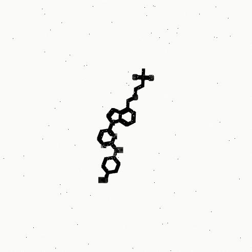 CS(=O)(=O)CCOCc1cccc2c1ccn2-c1ccnc(N[C@H]2CC[C@H](O)CC2)n1